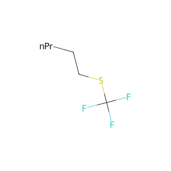 CCCCCSC(F)(F)F